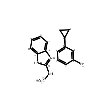 Brc1cccc(C2CC2)c1.O=C(O)Nc1nc2ccccc2[nH]1